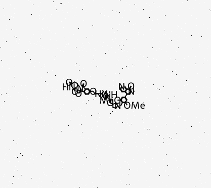 COc1cc(-c2cn(C)c(=O)c3cnccc23)cc(OC)c1CN1CCC(OCC2=CN(CCCOc3ccc4c(c3)C(=O)N(C3CCC(=O)NC3=O)C4=O)NN2)C1